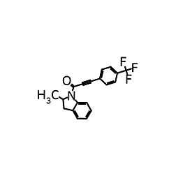 CC1Cc2ccccc2N1C(=O)C#Cc1ccc(C(F)(F)F)cc1